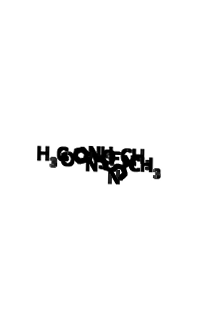 COc1ccc2[nH]c([S+]([O-])Cc3nccc(N(C)C)c3F)nc2c1